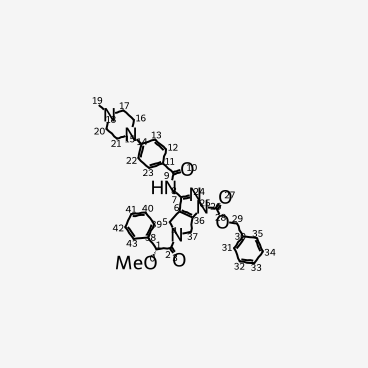 CO[C@@H](C(=O)N1Cc2c(NC(=O)c3ccc(N4CCN(C)CC4)cc3)nn(C(=O)OCc3ccccc3)c2C1)c1ccccc1